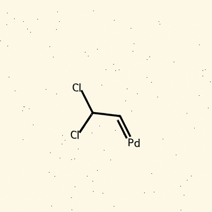 ClC(Cl)[CH]=[Pd]